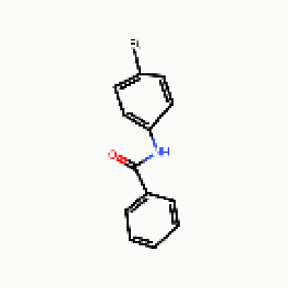 [CH2]Cc1ccc(NC(=O)c2ccccc2)cc1